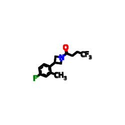 Cc1cc(F)ccc1C1CN(C(=O)CCC(F)(F)F)C1